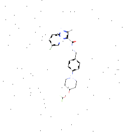 CCc1nc2ccc(Cl)cn2c1C(=O)NCc1ccc(N2CCC(OC(F)F)CC2)cc1